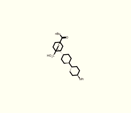 CCCCC(=O)C12CCC(C(=O)O)(CC1)C([C@H]1CC[C@H]([C@H]3CC[C@H](CCC)CC3)CC1)C2